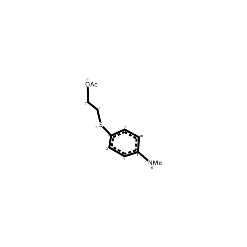 CNc1ccc(SCCOC(C)=O)cc1